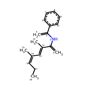 C=C(NC(=C)c1ccccc1)/C(C)=C/C(C)=C\CC